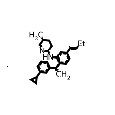 C=C(c1cccc(C2CC2)c1)c1ccc(/C=C/CC)cc1NC1CCC(C)C=N1